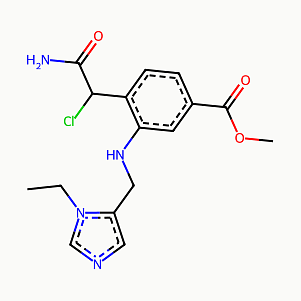 CCn1cncc1CNc1cc(C(=O)OC)ccc1C(Cl)C(N)=O